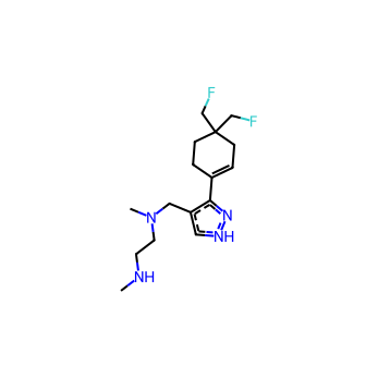 CNCCN(C)Cc1c[nH]nc1C1=CCC(CF)(CF)CC1